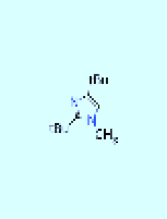 Cn1cc(C(C)(C)C)nc1C(C)(C)C